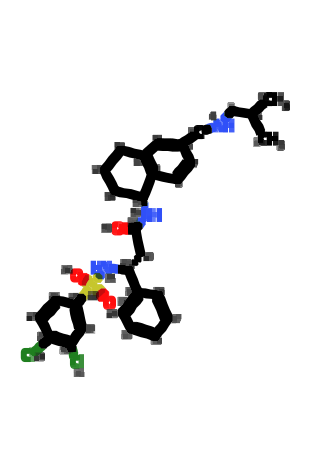 CC(C)CNCc1ccc2c(c1)CCC[C@H]2NC(=O)C[C@@H](NS(=O)(=O)c1ccc(Cl)c(Cl)c1)c1ccccc1